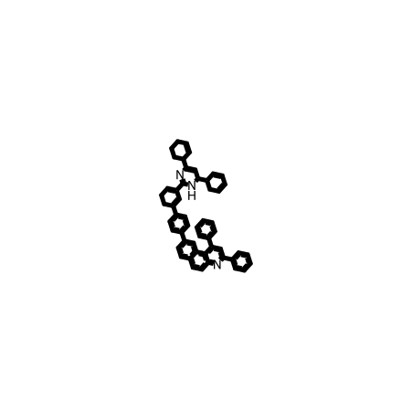 C1=CCC(C2C=C(C3C=CCCC3)N=C(C3=CCCC(c4ccc(-c5ccc6ccc7nc(-c8ccccc8)cc(-c8ccccc8)c7c6c5)cc4)=C3)N2)C=C1